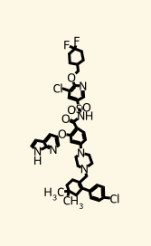 CC1(C)CCC(CN2CCN(c3ccc(C(=O)NS(=O)(=O)c4cnc(OCC5CCC(F)(F)CC5)c(Cl)c4)c(Oc4cnc5[nH]ccc5c4)c3)CC2)=C(c2ccc(Cl)cc2)C1